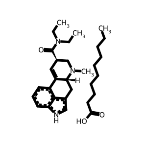 CCCCCCCCCC(=O)O.CCN(CC)C(=O)[C@@H]1C=C2c3cccc4[nH]cc(c34)C[C@H]2N(C)C1